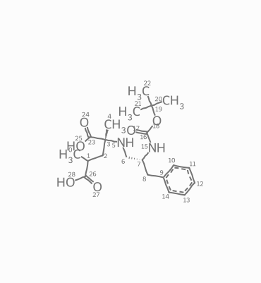 CC(C[C@@](C)(NC[C@@H](Cc1ccccc1)NC(=O)OC(C)(C)C)C(=O)O)C(=O)O